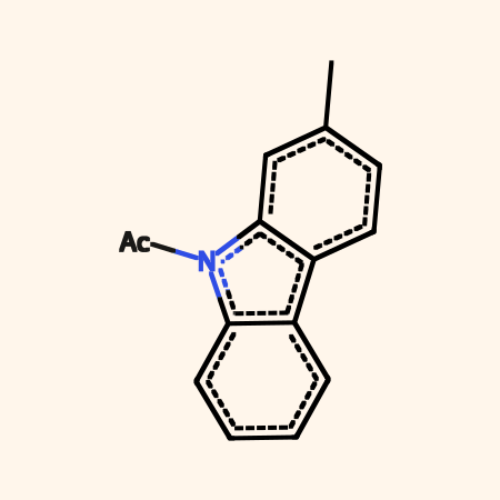 CC(=O)n1c2ccccc2c2ccc(C)cc21